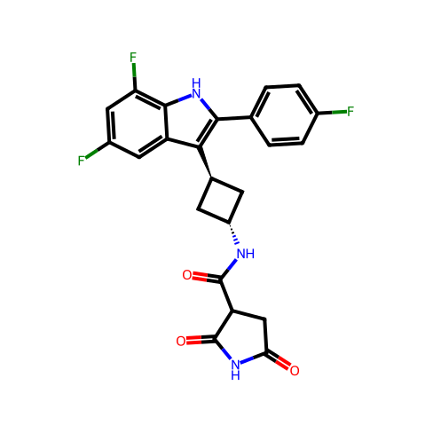 O=C1CC(C(=O)N[C@H]2C[C@H](c3c(-c4ccc(F)cc4)[nH]c4c(F)cc(F)cc43)C2)C(=O)N1